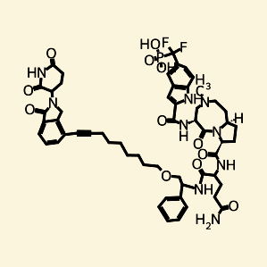 CN1CC[C@H]2CC[C@@H](C(=O)NC(CCC(N)=O)C(=O)NC(COCCCCCCCC#Cc3cccc4c3CN(C3CCC(=O)NC3=O)C4=O)c3ccccc3)N2C(=O)[C@@H](NC(=O)c2cc3cc(C(F)(F)P(=O)(O)O)ccc3[nH]2)C1